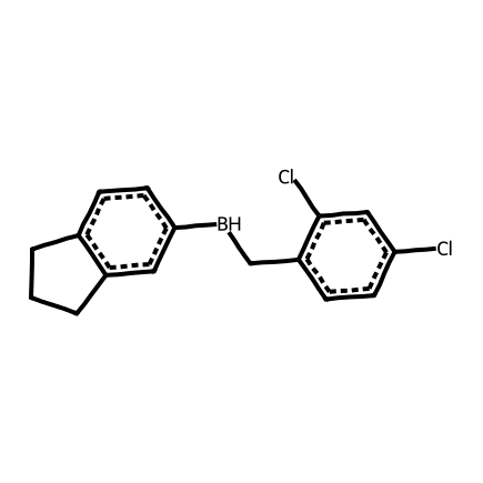 Clc1ccc(CBc2ccc3c(c2)CCC3)c(Cl)c1